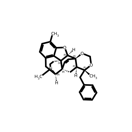 Cc1ccc2c3c1O[C@H]1[C@@]45C=C[C@@]6(C[C@@H]4[C@@](C)(Cc4ccccc4)OCO5)[C@@H](C2)N(C)CC[C@]316